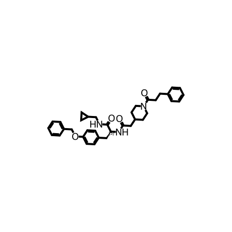 O=C(CC1CCN(C(=O)CCc2ccccc2)CC1)N[C@@H](Cc1ccc(OCc2ccccc2)cc1)C(=O)NCC1CC1